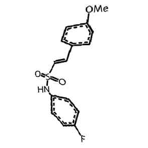 COc1ccc(C=CS(=O)(=O)Nc2ccc(F)cc2)cc1